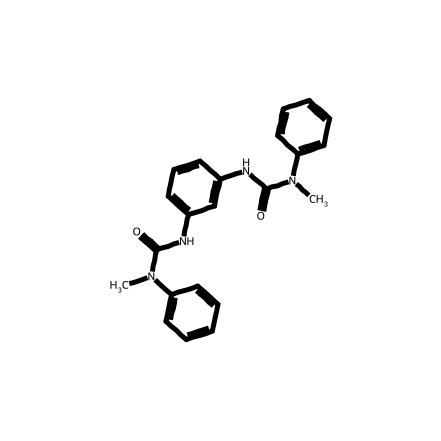 CN(C(=O)Nc1cccc(NC(=O)N(C)c2ccccc2)c1)c1ccccc1